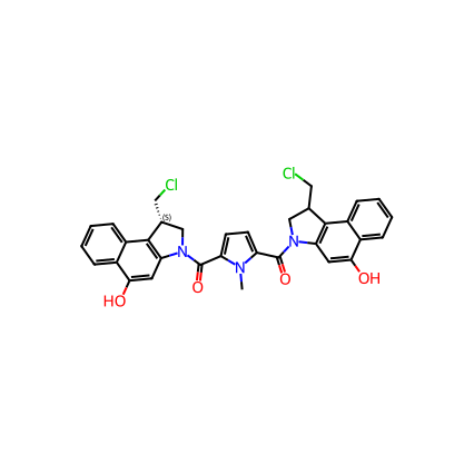 Cn1c(C(=O)N2CC(CCl)c3c2cc(O)c2ccccc32)ccc1C(=O)N1C[C@@H](CCl)c2c1cc(O)c1ccccc21